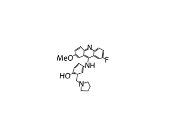 COc1ccc2nc3ccc(F)cc3c(Nc3ccc(O)c(CN4CCCC4)c3)c2c1